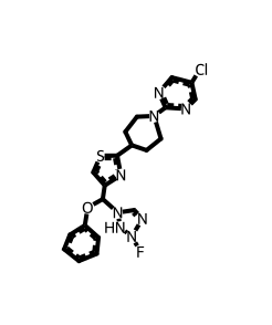 FN1N=CN(C(Oc2ccccc2)c2csc(C3CCN(c4ncc(Cl)cn4)CC3)n2)N1